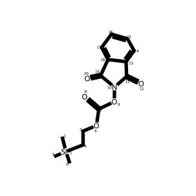 C[Si](C)(C)CCOC(=O)ON1C(=O)c2ccccc2C1=O